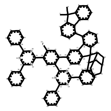 CC1(C)c2ccccc2-c2c(-c3cccc4c3-c3cc(-c5cc(F)c(-c6nc(-c7ccccc7)nc(-c7ccccc7)n6)cc5-c5nc(-c6ccccc6)nc(-c6ccccc6)n5)ccc3C43C4CC5CC(C4)CC3C5)cccc21